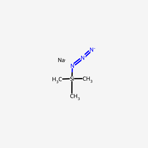 C[Si](C)(C)N=[N+]=[N-].[Na]